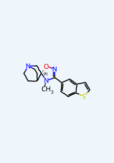 CN1C(c2ccc3sccc3c2)=NO[C@]12CN1CCC2CC1